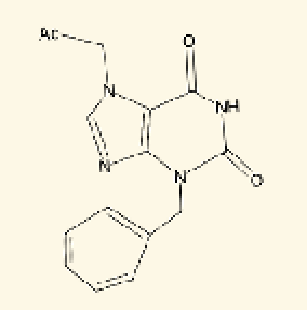 CC(=O)Cn1cnc2c1c(=O)[nH]c(=O)n2Cc1ccccc1